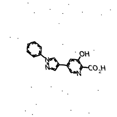 O=C(O)c1ncc(-c2cnn(-c3ccccc3)c2)cc1O